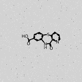 O=C(O)c1ccc2c(c1)NC(=O)c1ncccc1S2